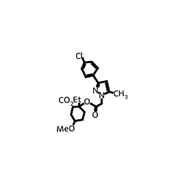 CCOC(=O)C1(OC(=O)Cn2nc(-c3ccc(Cl)cc3)cc2C)CCC(OC)CC1